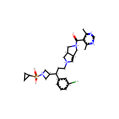 Cc1ncnc(C)c1C(=O)N1CC2=CN(CCC(c3cccc(F)c3)C3CN(S(=O)(=O)C4CC4)C3)CC2C1